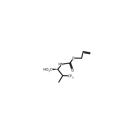 C=CCOC(=O)N[C@H](C(=O)O)C(C)C(F)(F)F